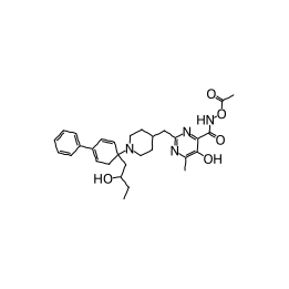 CCC(O)CC1(N2CCC(Cc3nc(C)c(O)c(C(=O)NOC(C)=O)n3)CC2)C=CC(c2ccccc2)=CC1